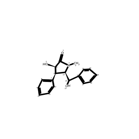 CN1C(=O)[C@H](O)[C@H](c2ccccc2)[C@@H]1C(O)c1ccccc1